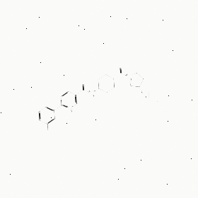 N[C@@H]1CCN(C(=O)[C@H]2CC[C@H](NC(=O)c3ccc(-c4cccc(F)c4)nc3)CC2)C1